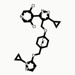 Clc1cncc(Cl)c1-c1noc(C2CC2)c1COC12CCC(COc3ccnn3C3CC3)(CC1)CC2